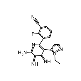 CCn1nccc1C1=C(c2cccc(C#N)c2F)N=C(N)C(=N)C1=N